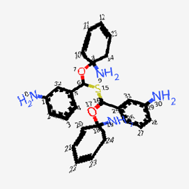 Nc1cccc(C(OC2(N)C=CC=CC2)SC(OC2(N)C=CC=CC2)c2cccc(N)c2)c1